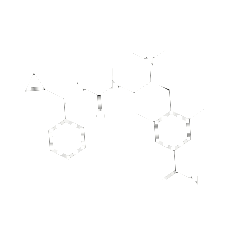 Cc1cc(C(N)=O)cc(C)c1C[C@@H](CNC(=O)N[C@@H](C1=CC1)c1ccccc1)N(C)C